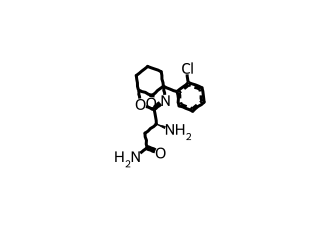 NC(=O)C[C@H](N)C1=NC2(c3ccccc3Cl)CCCC(O1)C2=O